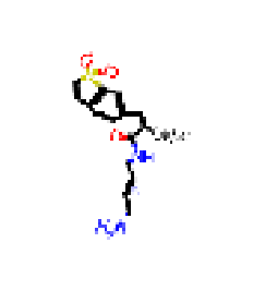 COC(Cc1ccc2c(c1)S(=O)(=O)C=C2)C(=O)NC/C=C/CN